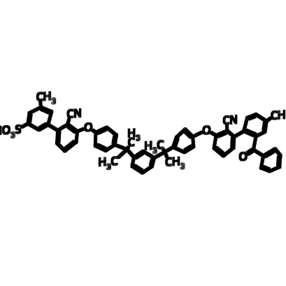 Cc1cc(-c2cccc(Oc3ccc(C(C)(C)c4cccc(C(C)(C)c5ccc(Oc6cccc(-c7ccc(C)cc7C(=O)c7ccccc7)c6C#N)cc5)c4)cc3)c2C#N)cc(S(=O)(=O)O)c1